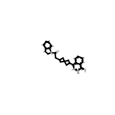 O=C(CC1CC2(C1)CC(c1n[nH]c(=O)c3ccccc13)C2)N1CCc2ccccc21